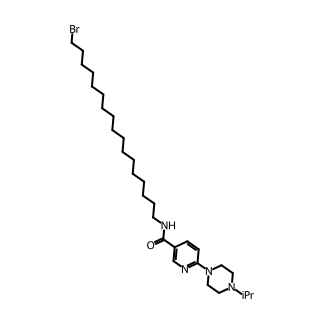 CC(C)N1CCN(c2ccc(C(=O)NCCCCCCCCCCCCCCCCCBr)cn2)CC1